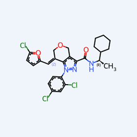 C[C@@H](NC(=O)c1nn(-c2ccc(Cl)cc2Cl)c2c1COC/C2=C\c1ccc(Cl)o1)C1CCCCC1